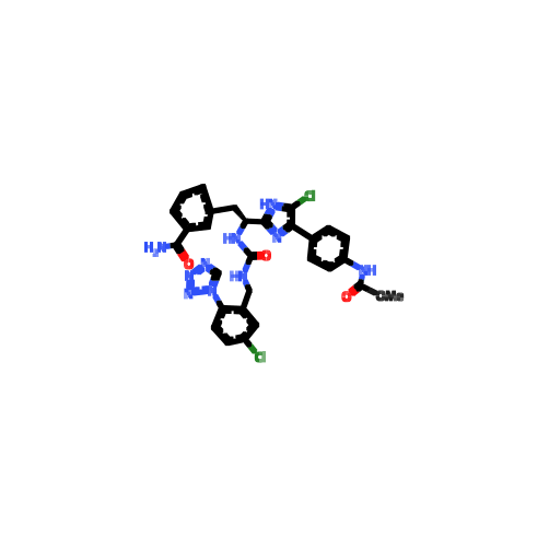 COC(=O)Nc1ccc(-c2nc([C@H](Cc3cccc(C(N)=O)c3)NC(=O)NCc3cc(Cl)ccc3-n3cnnn3)[nH]c2Cl)cc1